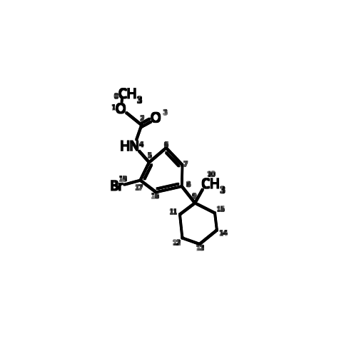 COC(=O)Nc1ccc(C2(C)CCCCC2)cc1Br